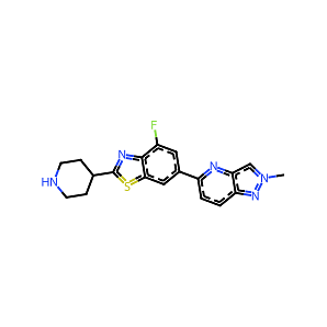 Cn1cc2nc(-c3cc(F)c4nc(C5CCNCC5)sc4c3)ccc2n1